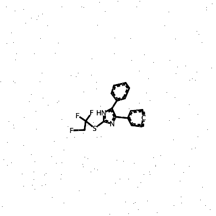 FCC(F)(F)Sc1nc(-c2ccccc2)c(-c2ccccc2)[nH]1